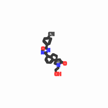 N#Cc1ccc(-c2nc(-c3cccc4c3CC[C@]43CC(=O)N(CCO)C3)no2)cc1